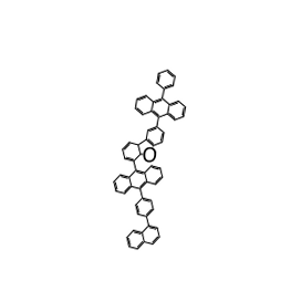 C1=CC2c3cc(-c4c5ccccc5c(-c5ccccc5)c5ccccc45)ccc3OC2C(c2c3ccccc3c(-c3ccc(-c4cccc5ccccc45)cc3)c3ccccc23)=C1